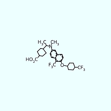 CC(C1CCC(C(=O)O)CC1)N(C)c1ccc2c(C(F)(F)F)c(OC3CCC(C(F)(F)F)CC3)ccc2c1